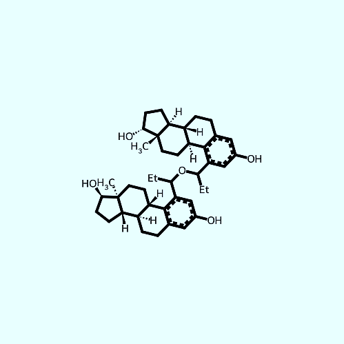 CCC(OC(CC)c1cc(O)cc2c1[C@H]1CC[C@]3(C)[C@H](O)CC[C@H]3[C@@H]1CC2)c1cc(O)cc2c1[C@H]1CC[C@]3(C)[C@H](O)CC[C@H]3[C@@H]1CC2